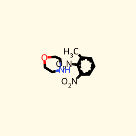 C1COCCN1.Cc1cccc([N+](=O)[O-])c1[N+](=O)[O-]